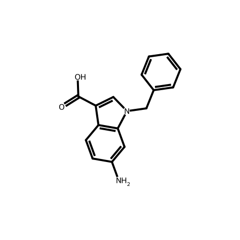 Nc1ccc2c(C(=O)O)cn(Cc3ccccc3)c2c1